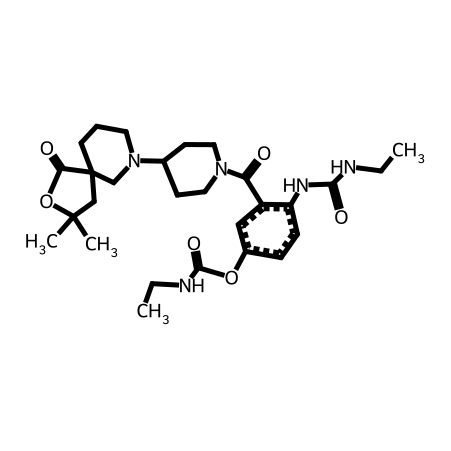 CCNC(=O)Nc1ccc(OC(=O)NCC)cc1C(=O)N1CCC(N2CCCC3(C2)CC(C)(C)OC3=O)CC1